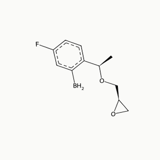 Bc1cc(F)ccc1[C@@H](C)OC[C@H]1CO1